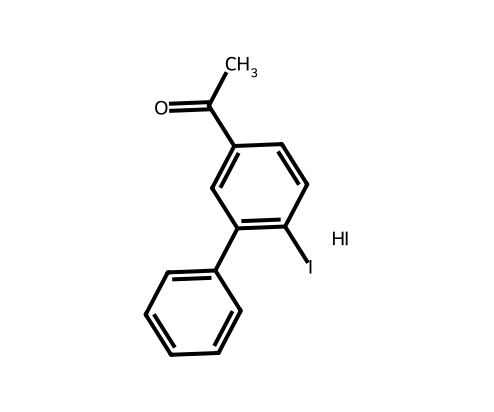 CC(=O)c1ccc(I)c(-c2ccccc2)c1.I